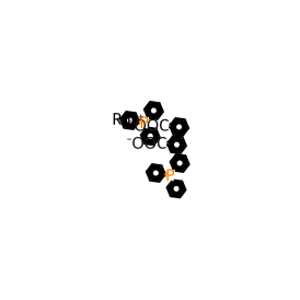 O=C([O-])c1ccccc1.O=C([O-])c1ccccc1.[Ru+2].c1ccc(P(c2ccccc2)c2ccccc2)cc1.c1ccc(P(c2ccccc2)c2ccccc2)cc1